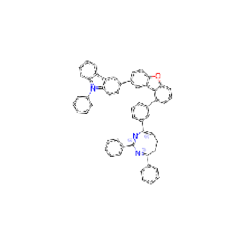 C1=C(c2cccc(-c3cccc4oc5ccc(-c6ccc7c(c6)c6ccccc6n7-c6ccccc6)cc5c34)c2)/N=C(c2ccccc2)\N=C(\c2ccccc2)CC\1